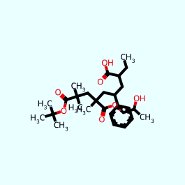 CCC(CC(CC(C)(CC(C)(C)C(=O)OC(C)(C)C)C(=O)OCC(C)O)c1ccccc1)C(=O)O